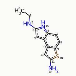 CCNc1cc2c(ccc3sc(N)cc32)[nH]1